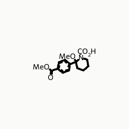 COC(=O)c1ccc(C2(OC)CCCCN2C(=O)O)cc1